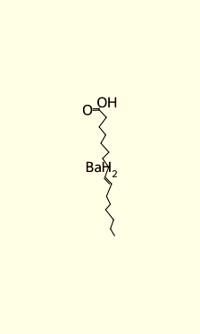 CCCCCCC=CCCCCCCCC(=O)O.[BaH2]